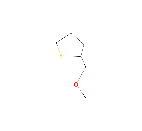 COCC1CCCS1